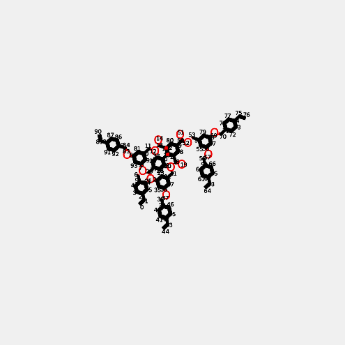 C=Cc1ccc(COc2cc(COC(=O)c3cc(C(=O)OCc4cc(OCc5ccc(C=C)cc5)cc(OCc5ccc(C=C)cc5)c4)cc(C(=O)OCc4cc(OCc5ccc(C=C)cc5)cc(OCc5ccc(C=C)cc5)c4)c3)cc(OCc3ccc(C=C)cc3)c2)cc1